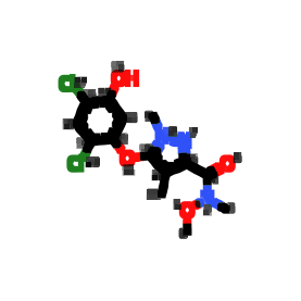 CON(C)C(=O)c1nn(C)c(Oc2cc(O)c(Cl)cc2Cl)c1C